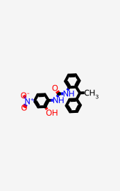 CC(c1ccccc1)c1ccccc1NC(=O)Nc1ccc([N+](=O)[O-])cc1O